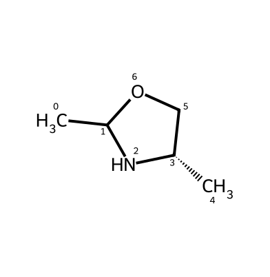 CC1N[C@@H](C)CO1